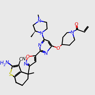 C=CC(=O)N1CCC(Oc2cc(N3CCN(C)C[C@@H]3C)nc(-c3cc(C4(C)CCCc5sc(N)c(C#N)c54)no3)n2)CC1